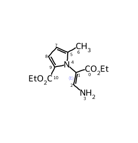 CCOC(=O)/C(=C\N)n1c(C)ccc1C(=O)OCC